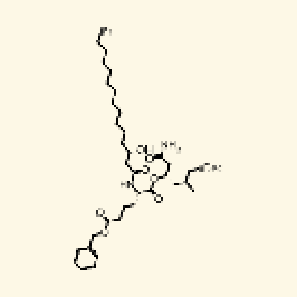 CCCCCCCCCCCC(C)C[C@@H](CC(N)=O)OC(=O)[C@H](CCCC(=O)OCc1ccccc1)NC(=O)C[C@@H](O)CCCCCCCCCCCC(C)C